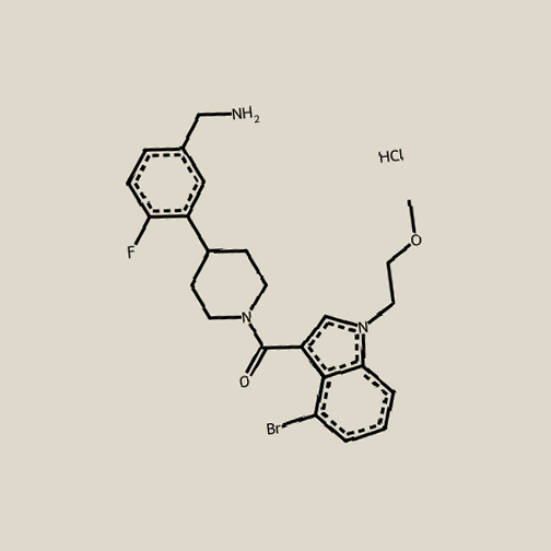 COCCn1cc(C(=O)N2CCC(c3cc(CN)ccc3F)CC2)c2c(Br)cccc21.Cl